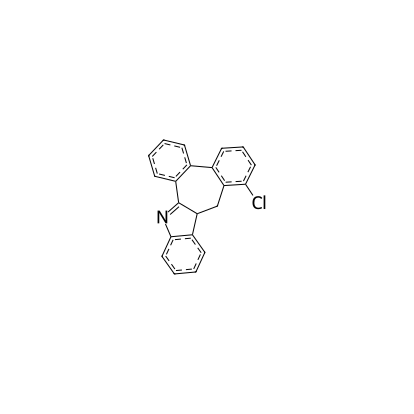 Clc1cccc2c1CC1C(=Nc3ccccc31)c1ccccc1-2